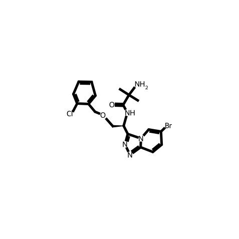 CC(C)(N)C(=O)N[C@H](COCc1ccccc1Cl)c1nnc2ccc(Br)cn12